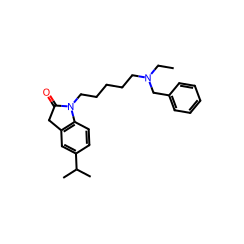 CCN(CCCCCN1C(=O)Cc2cc(C(C)C)ccc21)Cc1ccccc1